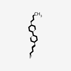 CCCC[C@H]1CC[C@H]([C@H]2CC[C@H](C=CCCF)CC2)CC1